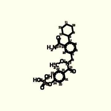 CON(Cc1ccc(C2CCCCC2)c(C(N)=O)c1)C(=O)c1ccc(OP(=O)(O)O)cc1